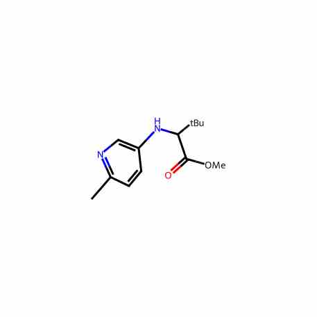 COC(=O)C(Nc1ccc(C)nc1)C(C)(C)C